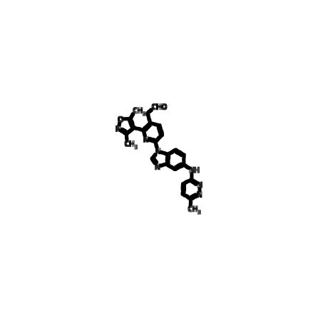 Cc1ccc(Nc2ccc3c(c2)ncn3-c2ccc(CC=O)c(-c3c(C)noc3C)n2)nn1